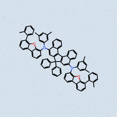 Cc1cc(C)cc(N(c2cc3c(c4ccccc24)-c2c(cc(N(c4cc(C)cc(C)c4)c4cccc5c4oc4c(-c6ccccc6C)cccc45)c4ccccc24)C3(c2ccccc2)c2ccccc2)c2cccc3c2oc2c(-c4ccccc4C)cccc23)c1